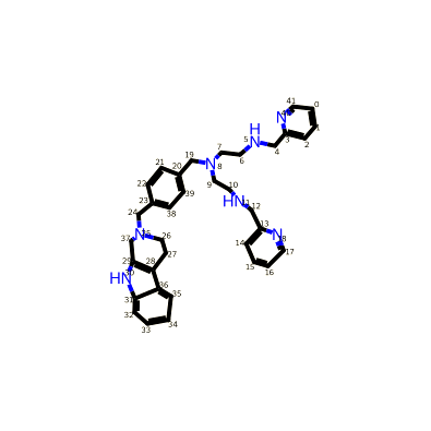 c1ccc(CNCCN(CCNCc2ccccn2)Cc2ccc(CN3CCc4c([nH]c5ccccc45)C3)cc2)nc1